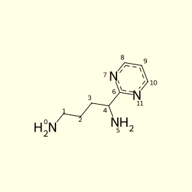 NCCCC(N)c1ncccn1